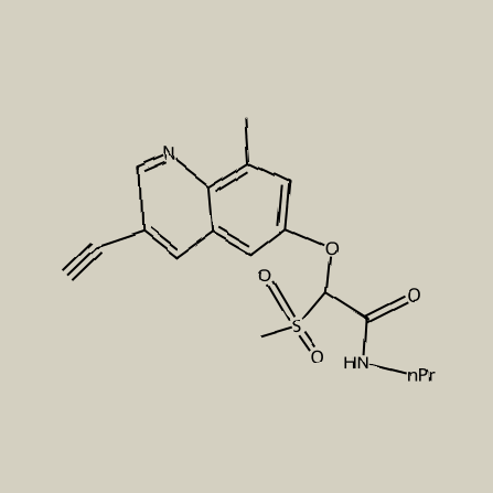 C#Cc1cnc2c(C)cc(OC(C(=O)NCCC)S(C)(=O)=O)cc2c1